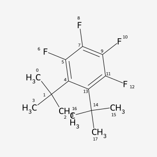 CC(C)(C)c1c(F)c(F)c(F)c(F)c1C(C)(C)C